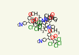 CCN(CC)c1ccc(C2(C=C(c3c(C)n(CC)c4ccccc34)c3c(C)n(CC)c4ccccc34)OC(=O)c3ccccc32)cc1.COc1ccc(C(=CC2OC(=O)c3c(Cl)c(Cl)c(Cl)c(Cl)c32)c2ccc(N3CCCC3)cc2)cc1.COc1ccc(C(=CC2OC(=O)c3c(Cl)c(Cl)c(Cl)c(Cl)c32)c2ccc(N3CCCC3)cc2)cc1